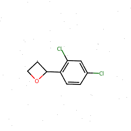 Clc1ccc(C2[CH]CO2)c(Cl)c1